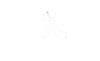 CC[Si]1(C2CCCC2)[Si](CC)(C2CCCC2)[Si](CC)(C2CCCC2)[Si]1(CC)C1CCCC1